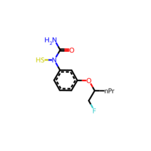 CCCC(CF)Oc1cccc(N(S)C(N)=O)c1